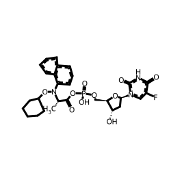 C[C@@H](C(=O)OP(=O)(O)OC[C@H]1O[C@@H](n2cc(F)c(=O)[nH]c2=O)C[C@@H]1O)N(OC1CCCCC1)c1cccc2ccccc12